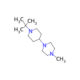 CN1CCN(C2CCN(C(C)(C)C)CC2)CC1